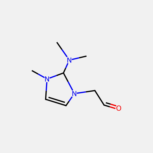 CN(C)C1N(C)C=CN1CC=O